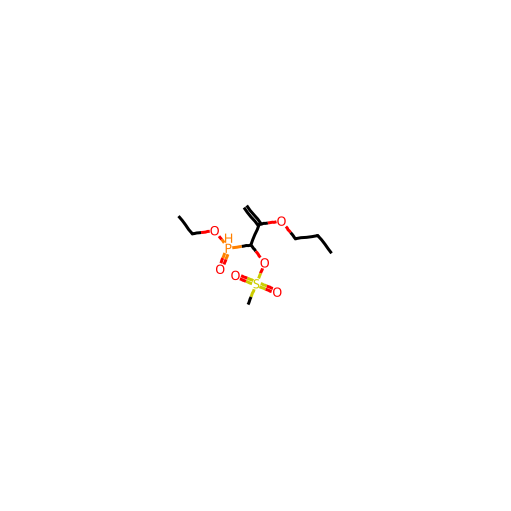 C=C(OCCC)C(OS(C)(=O)=O)[PH](=O)OCC